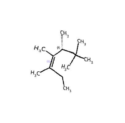 CC/C(C)=C(/C)[C@H](C)C(C)(C)C